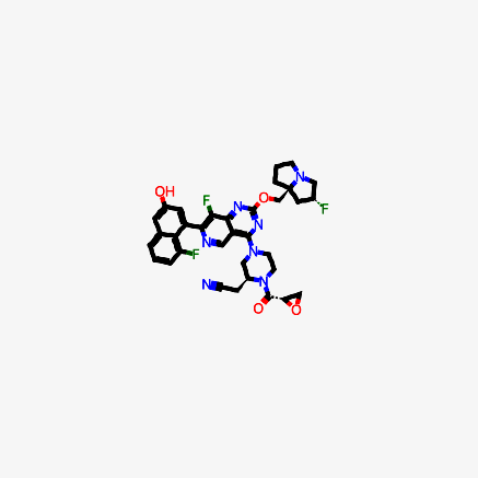 N#CC[C@H]1CN(c2nc(OC[C@@]34CCCN3C[C@H](F)C4)nc3c(F)c(-c4cc(O)cc5cccc(F)c45)ncc23)CCN1C(=O)[C@@H]1CO1